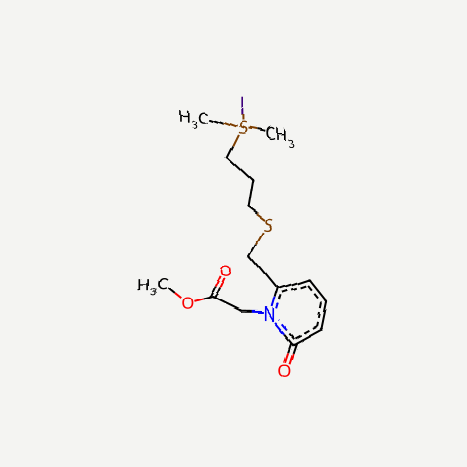 COC(=O)Cn1c(CSCCCS(C)(C)I)cccc1=O